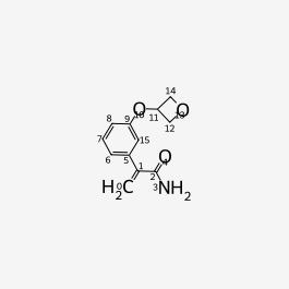 C=C(C(N)=O)c1cccc(OC2COC2)c1